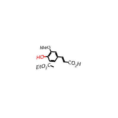 CCOC(C)=O.COc1cc(/C=C/C(=O)O)ccc1O